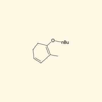 CCCCOC1=C(C)C=CCC1